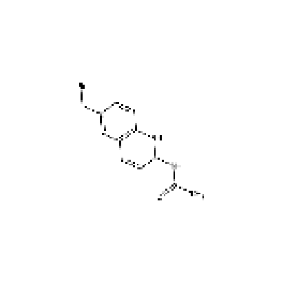 CC(=O)NC1C=Cc2cc(CBr)ccc2N1